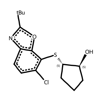 CC(C)(C)c1nc2ccc(Cl)c(S[C@H]3CCC[C@@H]3O)c2o1